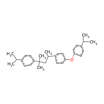 CC(C)c1ccc(Oc2ccc(C(C)CC(C)(C)c3ccc(C(C)C)cc3)cc2)cc1